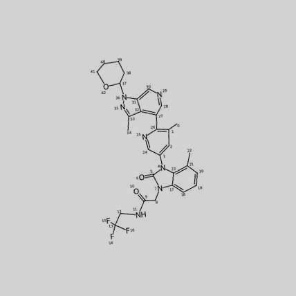 Cc1cc(-n2c(=O)n(CC(=O)NCC(F)(F)F)c3cccc(C)c32)cnc1-c1cncc2c1c(C)nn2C1CCCCO1